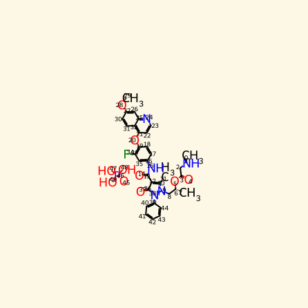 CNCC(=O)O[C@H](C)Cn1c(C)c(C(=O)Nc2ccc(Oc3ccnc4cc(OC)ccc34)c(F)c2)c(=O)n1-c1ccccc1.O=P(O)(O)O